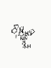 Fc1c(-c2cccc3cccc(Cl)c23)ncc2c(N3CC4CCC(C3)N4)nc(N3CC4(CCN4)C3)nc12